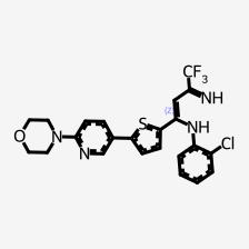 N=C(/C=C(\Nc1ccccc1Cl)c1ccc(-c2ccc(N3CCOCC3)nc2)s1)C(F)(F)F